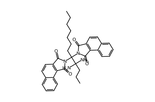 CCCCCCCC(N1C(=O)c2ccc3ccccc3c2C1=O)(N1C(=O)c2ccc3ccccc3c2C1=O)C(N)(N)CCC